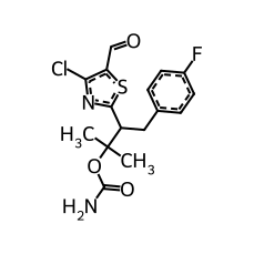 CC(C)(OC(N)=O)C(Cc1ccc(F)cc1)c1nc(Cl)c(C=O)s1